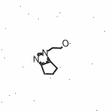 [O]CCn1cnc2c1CCC2